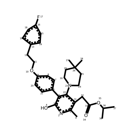 Cc1nc(O)c(-c2ccc(OCCc3ccc(F)cc3)cc2)c(N2CCC(C)(C)CC2)c1CC(=O)OC(C)C